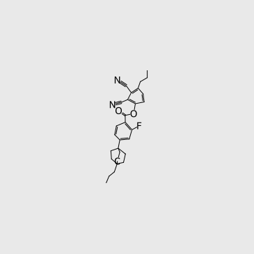 CCCc1ccc(OC(=O)c2ccc(C34CCC(CCC)(CC3)CC4)cc2F)c(C#N)c1C#N